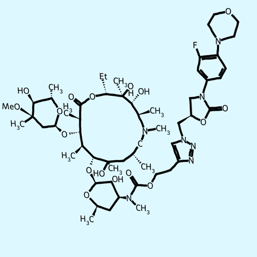 CC[C@H]1OC(=O)[C@H](C)[C@@H](O[C@H]2C[C@@](C)(OC)[C@@H](O)[C@H](C)O2)[C@H](C)[C@@H](O[C@@H]2O[C@H](C)C[C@H](N(C)C(=O)OCCc3cn(C[C@H]4CN(c5ccc(N6CCOCC6)c(F)c5)C(=O)O4)nn3)[C@H]2O)[C@](C)(O)C[C@@H](C)CN(C)[C@H](C)[C@@H](O)[C@]1(C)O